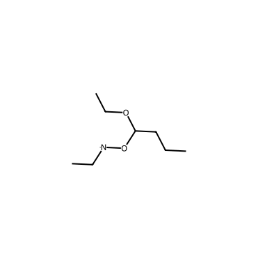 CCCC(OCC)O[N]CC